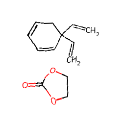 C=CC1(C=C)C=CC=CC1.O=C1OCCO1